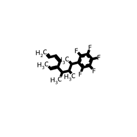 C=C/C=C\C(=C/C)C(C)C(C)C(C)c1c(F)c(F)c(F)c(F)c1F